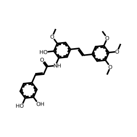 COc1cc(/C=C/c2cc(OC)c(OC)c(OC)c2)cc(NC(=O)/C=C/c2ccc(O)c(O)c2)c1O